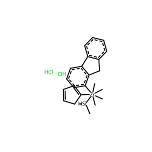 C[SiH](C)[Zr]([CH3])([CH3])([CH3])([CH3])([C]1=CC=CC1)[c]1cccc2c1Cc1ccccc1-2.Cl.Cl